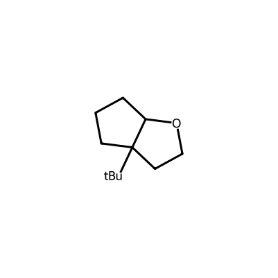 CC(C)(C)C12CCCC1OCC2